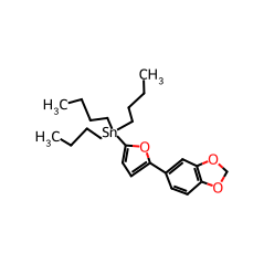 CCC[CH2][Sn]([CH2]CCC)([CH2]CCC)[c]1ccc(-c2ccc3c(c2)OCO3)o1